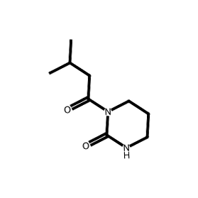 CC(C)CC(=O)N1CCCNC1=O